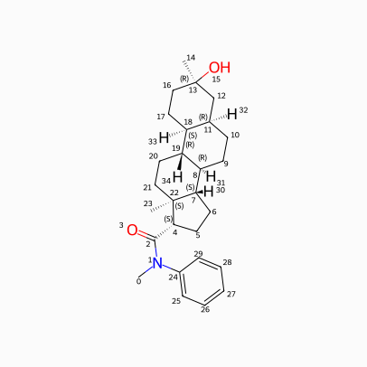 CN(C(=O)[C@H]1CC[C@H]2[C@@H]3CC[C@@H]4C[C@](C)(O)CC[C@@H]4[C@H]3CC[C@]12C)c1ccccc1